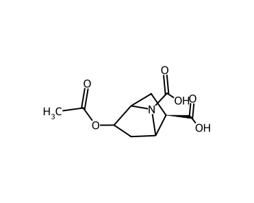 CC(=O)OC1CC2[C@H](C(=O)O)CC1N2C(=O)O